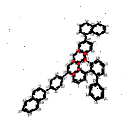 c1ccc(-c2ccccc2-c2c(-c3ccccc3)cccc2N(c2ccc(-c3ccc(-c4ccc5ccccc5c4)cc3)cc2)c2ccc(-c3cccc4ccccc34)cc2)cc1